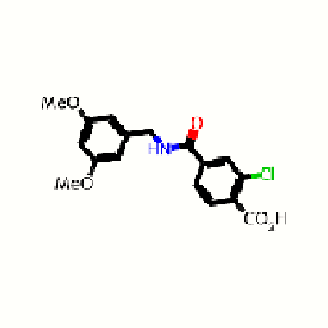 COc1cc(CNC(=O)c2ccc(C(=O)O)c(Cl)c2)cc(OC)c1